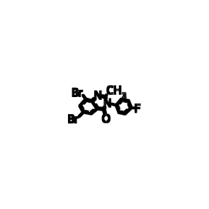 Cc1nc2c(Br)cc(Br)cc2c(=O)n1-c1ccc(F)cc1